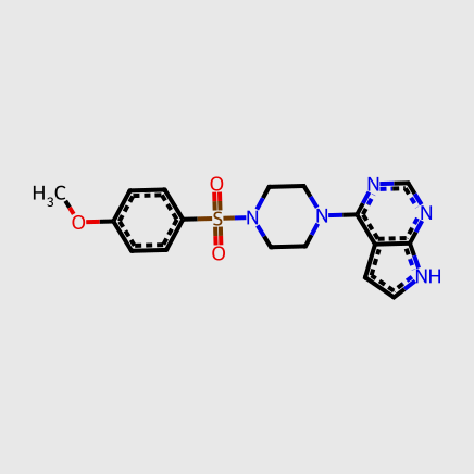 COc1ccc(S(=O)(=O)N2CCN(c3ncnc4[nH]ccc34)CC2)cc1